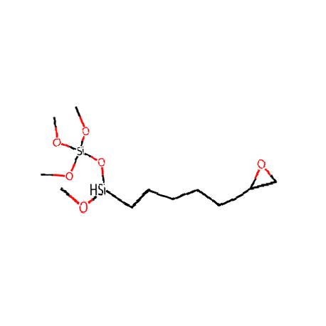 CO[SiH](CCCCCC1CO1)O[Si](OC)(OC)OC